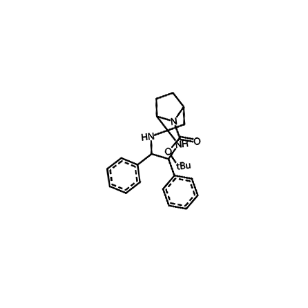 CC(C)(C)OC(=O)N1C2CCC1C1(C2)NC(c2ccccc2)C(c2ccccc2)N1